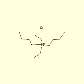 CCCC[N+](CC)(CC)CCCC.[Zr]